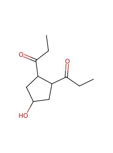 CCC(=O)C1CC(O)CC1C(=O)CC